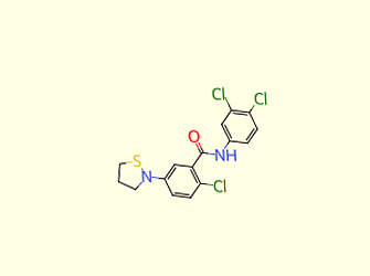 O=C(Nc1ccc(Cl)c(Cl)c1)c1cc(N2CCCS2)ccc1Cl